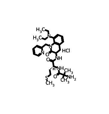 CCN(CC)c1cccc2c1N(Cc1ccccn1)C(=O)C(NC(=O)[C@@H](CCSC)NC(=O)C(C)(C)N)C2.Cl